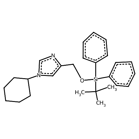 CC(C)(C)[Si](OCc1cn(C2CCCCC2)cn1)(c1ccccc1)c1ccccc1